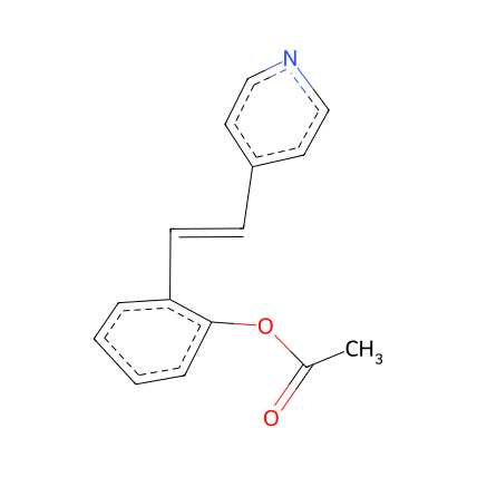 CC(=O)Oc1ccccc1C=Cc1ccncc1